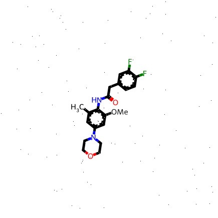 COc1cc(N2CCOCC2)cc(C)c1NC(=O)Cc1ccc(F)c(F)c1